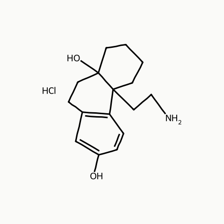 Cl.NCCC12CCCCC1(O)CCc1cc(O)ccc12